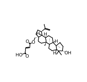 C=C(C)[C@@H]1CC[C@]2(COC(=O)C=CC(=O)O)CC[C@]3(C)[C@H](CC[C@@H]4[C@@]5(C)CC[C@H](O)C(C)(C)[C@@H]5CC[C@]43C)[C@@H]12